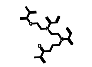 C=CC(=C)N(CCCC(=O)C(=C)C)CCN(CCOC(=C)C(=C)C)C(=C)C=C